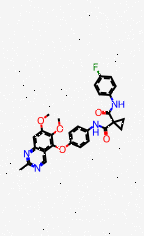 COc1cc2nc(C)ncc2c(Oc2ccc(NC(=O)C3(C(=O)Nc4ccc(F)cc4)CC3)cc2)c1OC